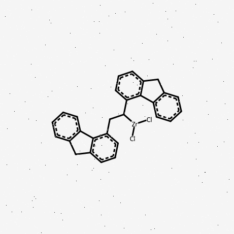 [Cl][Zr]([Cl])[CH](Cc1cccc2c1-c1ccccc1C2)c1cccc2c1-c1ccccc1C2